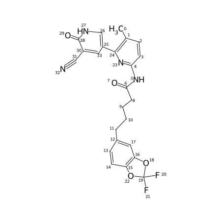 Cc1ccc(NC(=O)CCCCc2ccc3c(c2)OC(F)(F)O3)nc1-c1c[nH]c(=O)c(C#N)c1